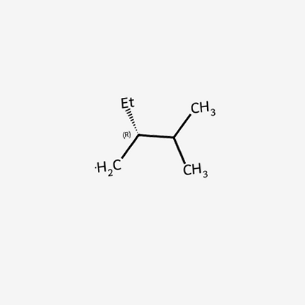 [CH2][C@H](CC)C(C)C